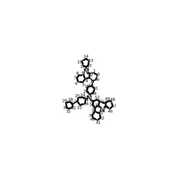 C1=Cc2c(c3ccccc3n2-c2ccccc2)C(c2ccc(N(c3ccc(-c4ccccc4)cc3)c3cc4c5ccccc5n5c6ccccc6c(c3)c45)cc2)C1